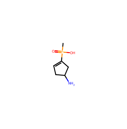 CP(=O)(O)C1=CCC(N)C1